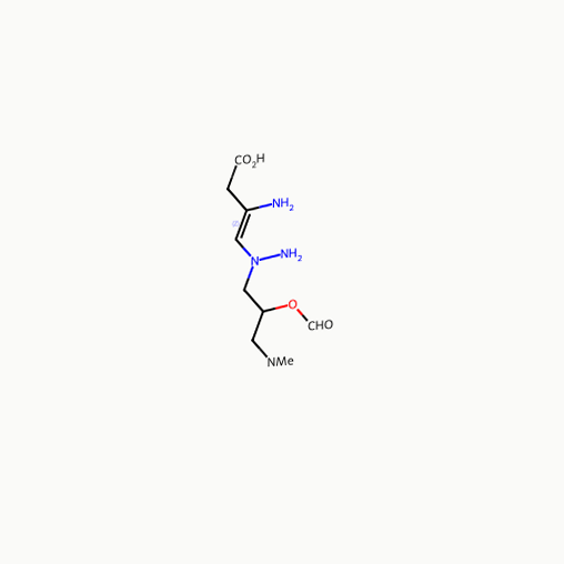 CNCC(CN(N)/C=C(\N)CC(=O)O)OC=O